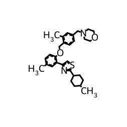 Cc1ccc(OCc2ccc(CN3CCOCC3)cc2C)c(-c2csc(C3CCC(C)CC3)n2)c1